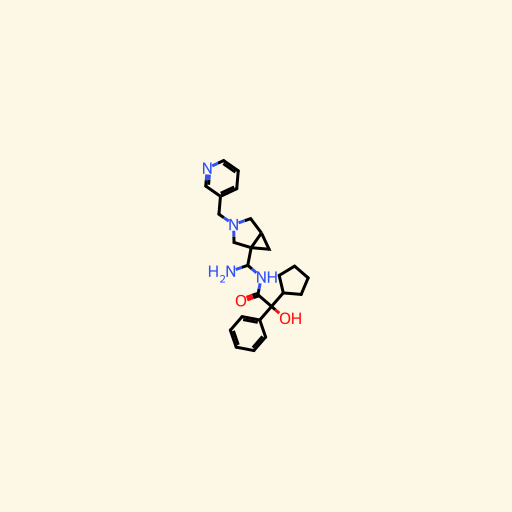 NC(NC(=O)C(O)(c1ccccc1)C1CCCC1)C12CC1CN(Cc1cccnc1)C2